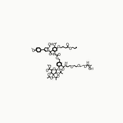 C=CCOC(=O)CCCOc1cc(NC(=O)OCc2ccc(O[C@@H]3O[C@H](C(=O)OC)[C@@H](OC(C)=O)[C@H](OC(C)=O)[C@H]3OC(C)=O)c(C(=O)NCCOCCOCCONB(C)O)c2)c(C(=O)N2C=C(c3ccc(OC)cc3)C[C@H]2CO)cc1OC